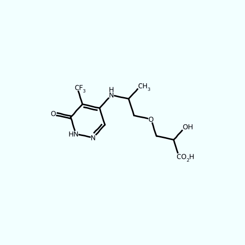 CC(COCC(O)C(=O)O)Nc1cn[nH]c(=O)c1C(F)(F)F